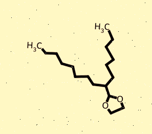 CCCCCCCCC(CCCCCC)C1OCCO1